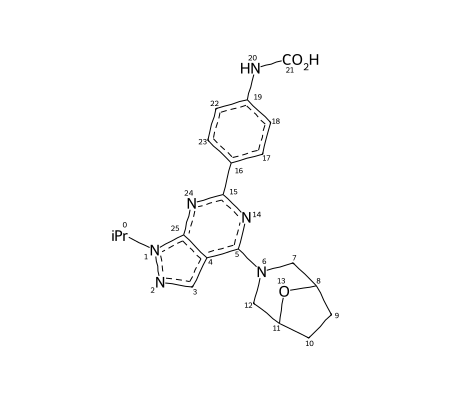 CC(C)n1ncc2c(N3CC4CCC(C3)O4)nc(-c3ccc(NC(=O)O)cc3)nc21